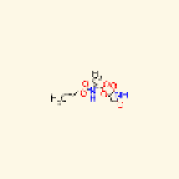 CCCCOC(=O)N[C@@H](C)C(=O)OC1CC(=O)NC1=O